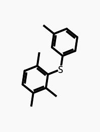 Cc1cccc(Sc2c(C)ccc(C)c2C)c1